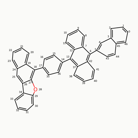 c1ccc2cc(-c3c4ccccc4c(-c4ccc(-c5c6ccccc6cc6c5oc5ccccc56)cc4)c4ccccc34)ccc2c1